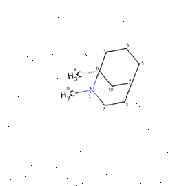 CN1CCC2CCC[C@@]1(C)C2